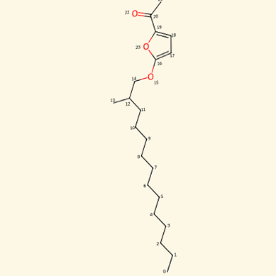 CCCCCCCCCCCCC(C)COc1ccc(C(C)=O)o1